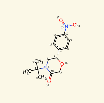 CC(C)(C)N1C[C@H](c2ccc([N+](=O)[O-])cc2)OCC1=O